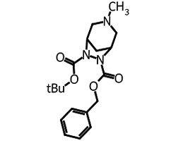 CN1CC2CC(C1)N(C(=O)OC(C)(C)C)N2C(=O)OCc1ccccc1